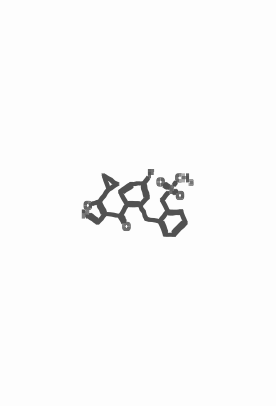 CS(=O)(=O)Cc1ccccc1Cc1cc(F)ccc1C(=O)c1cnoc1C1CC1